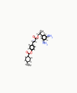 CCCCC1CCC(C(=O)Oc2ccc(/C=C/C(=O)OCC(C)c3cc(N)cc(N)c3)cc2)CC1